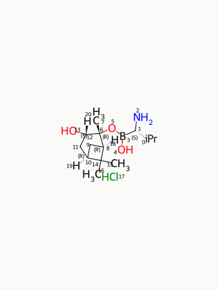 CC(C)[C@@H](N)B(O)O[C@]1(C)[C@@H]2C[C@H](C[C@@H]1O)C2(C)C.Cl